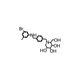 Cc1cc(Br)cc(NCc2ccc(CN3CC(O)C(O)C(O)C3CO)cc2)c1